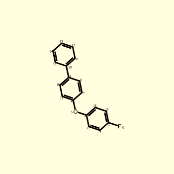 Fc1ccc(Oc2ccc(-c3ccccc3)cc2)cc1